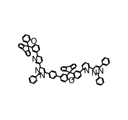 c1ccc(-c2cc(-c3cccc(-c4ccc5c(c4)C4(c6cc(-c7ccc(-c8cc(-c9ccc(-c%10ccc%11c(c%10)C%10(c%12ccccc%12O%11)c%11ccccc%11-c%11ccccc%11%10)nc9)nc(-c9ccccc9)n8)cc7)ccc6O5)c5ccccc5-c5ccccc54)n3)nc(-c3ccccc3)n2)cc1